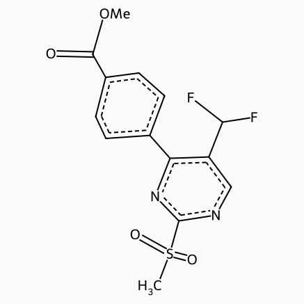 COC(=O)c1ccc(-c2nc(S(C)(=O)=O)ncc2C(F)F)cc1